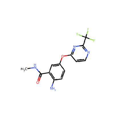 CNC(=O)c1cc(Oc2ccnc(C(F)(F)F)n2)ccc1N